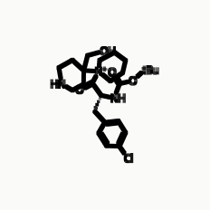 CC(C)(C)OC(=O)N[C@H](Cc1ccc(Cl)cc1)C(=O)[N+]1(C2(CO)CCNCC2)CCCCC1